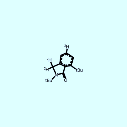 [2H]c1cc(C(C)(C)C)c2c(c1)C([2H])([2H])N(C(C)(C)C)C2=O